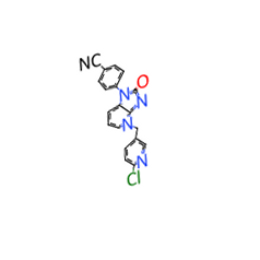 N#Cc1ccc(-n2c3cccn(Cc4ccc(Cl)nc4)c-3nc2=O)cc1